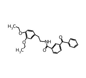 CCOc1ccc(CCNC(=O)c2cccc(C(=O)c3ccccc3)c2)cc1OCC